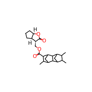 CC1C(C)C2CC1C1C3CC(C(C(=O)OC[C@@H]4C(=O)O[C@@H]5CCC[C@H]45)C3C)C21